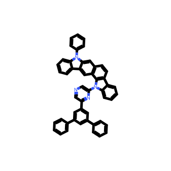 c1ccc(-c2cc(-c3ccccc3)cc(-c3cncc(-n4c5ccccc5c5ccc6cc7c(cc6c54)c4ccccc4n7-c4ccccc4)n3)c2)cc1